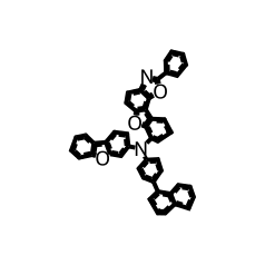 c1ccc(-c2nc3ccc4oc5c(N(c6ccc(-c7cccc8ccccc78)cc6)c6ccc7c(c6)oc6ccccc67)cccc5c4c3o2)cc1